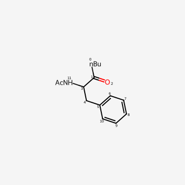 CCCCC(=O)C(Cc1ccccc1)NC(C)=O